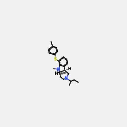 CCC(C)N1CC[C@H]2[C@H](C1)c1cccc(Sc3ccc(C)cc3)c1N2C